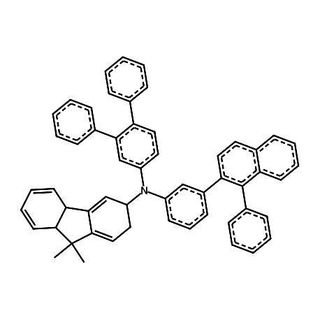 CC1(C)C2=CCC(N(c3cccc(-c4ccc5ccccc5c4-c4ccccc4)c3)c3ccc(-c4ccccc4)c(-c4ccccc4)c3)C=C2C2C=CC=CC21